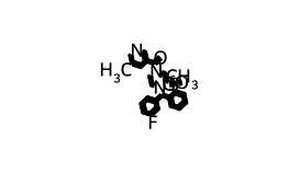 Cc1cncc(C(=O)N2CCN(C(c3cccc(F)c3)c3ccccc3S(C)(=O)=O)CC2)c1